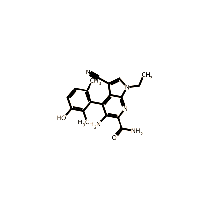 CCn1cc(C#N)c2c(-c3c(C)ccc(O)c3C)c(N)c(C(N)=O)nc21